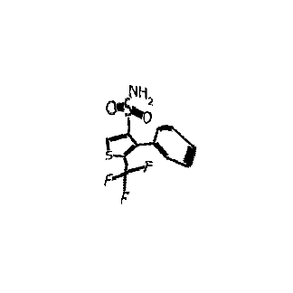 NS(=O)(=O)c1csc(C(F)(F)F)c1-c1ccccc1